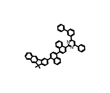 CC1(C)c2ccc(-c3ccc(-c4ccc(-c5nc(-c6ccccc6)cc(-c6cccc(-c7ccccc7)c6)n5)c5ccccc45)c4ccccc34)cc2-c2cc3ccccc3cc21